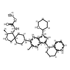 Cc1nc2c(N3CCCc4ncccc43)nn(C3CCCCO3)c2nc1N1CCC2(CC1)CO[C@@H](C)[C@H]2NC(=O)OC(C)(C)C